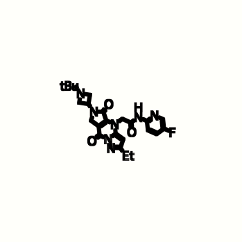 CCc1cc2n(CC(=O)Nc3ccc(F)cn3)c3c(c(=O)n2n1)CN(C1CN(C(C)(C)C)C1)C3=O